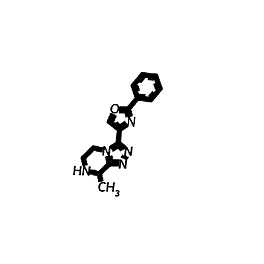 CC1NCCn2c(-c3coc(-c4ccccc4)n3)nnc21